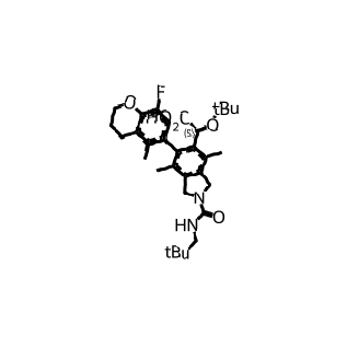 Cc1c(-c2c(C)c3c(c(C)c2[C@H](OC(C)(C)C)C(=O)O)CN(C(=O)NCC(C)(C)C)C3)cc(F)c2c1CCCO2